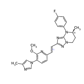 COc1nc(/C=C/c2nc3n(n2)CC[C@H](C)N3c2ccc(F)cc2)ccc1-n1cnc(C)c1